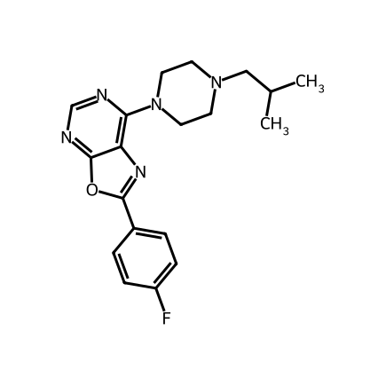 CC(C)CN1CCN(c2ncnc3oc(-c4ccc(F)cc4)nc23)CC1